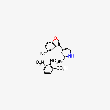 CC(C)C1CC(c2coc3ccc(C#N)cc23)=CCN1.O=C(O)c1cccc([N+](=O)[O-])c1[N+](=O)[O-]